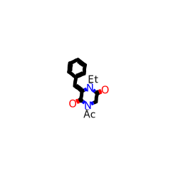 CCN1C(=O)CN(C(C)=O)C(=O)C1=Cc1ccccc1